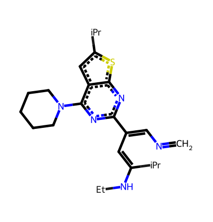 C=N/C=C(\C=C(\NCC)C(C)C)c1nc(N2CCCCC2)c2cc(C(C)C)sc2n1